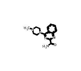 CN1CCN(c2nc(C(N)=O)nc3cc[c]cc23)CC1